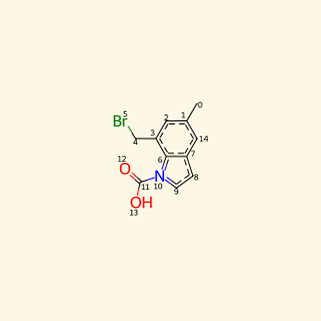 Cc1cc(CBr)c2c(ccn2C(=O)O)c1